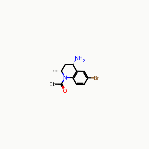 CCC(=O)N1c2ccc(Br)cc2[C@@H](N)C[C@H]1C